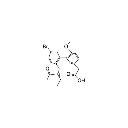 CCN(Cc1ccc(Br)cc1-c1cc(CC(=O)O)ccc1OC)C(C)=O